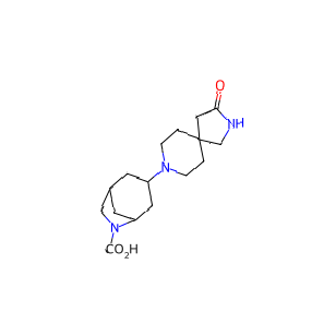 O=C1CC2(CCN(C3CC4CC(C3)N(C(=O)O)C4)CC2)CN1